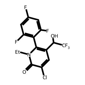 CCn1c(-c2c(F)cc(F)cc2F)c(C(O)C(F)(F)F)cc(Cl)c1=O